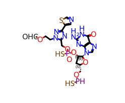 Nc1nc2c(ncn2[C@@H]2O[C@H](COPS)C[C@H]2OP(=O)(S)OCc2nc(-c3cncs3)nn2CCOC=O)c(=O)[nH]1